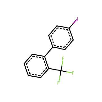 FC(F)(F)c1ccccc1-c1ccc(I)cc1